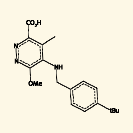 COc1nnc(C(=O)O)c(C)c1NCc1ccc(C(C)(C)C)cc1